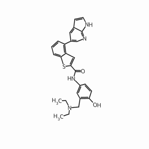 CCN(CC)Cc1cc(NC(=O)c2cc3c(-c4cnc5[nH]ccc5c4)cccc3s2)ccc1O